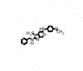 COc1ccc(Nc2cc3c(cn2)nc(NCc2ccccc2)n3C)cc1